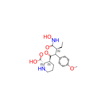 CC[C@H](C(=O)NO)C(C(=O)[C@H]1CCCN[C@@H]1C(=O)O)c1ccc(OC)cc1